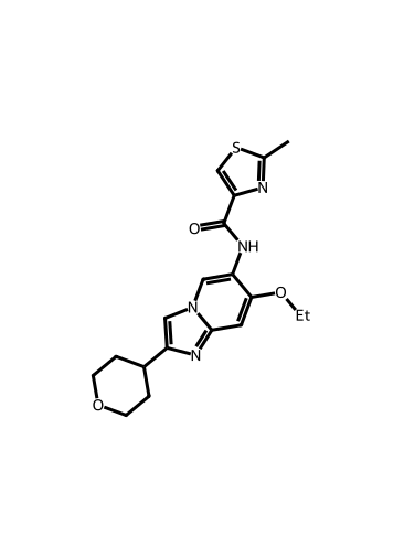 CCOc1cc2nc(C3CCOCC3)cn2cc1NC(=O)c1csc(C)n1